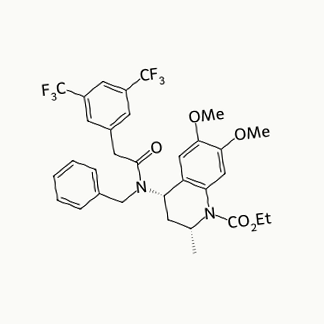 CCOC(=O)N1c2cc(OC)c(OC)cc2[C@@H](N(Cc2ccccc2)C(=O)Cc2cc(C(F)(F)F)cc(C(F)(F)F)c2)C[C@H]1C